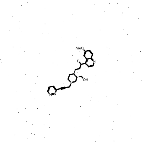 COc1ccc2nccc(C(F)CC[C@@H]3CCN(CC#Cc4cccnn4)C[C@@H]3CO)c2c1